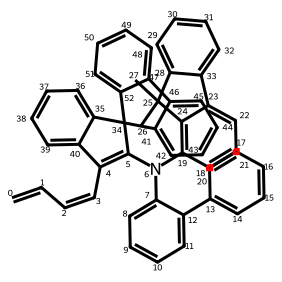 C=C/C=C\C1=C(N(c2ccccc2-c2ccccc2)c2cccc3c2C(C)(C)c2ccccc2-3)C2(c3ccccc31)c1ccccc1-c1ccccc12